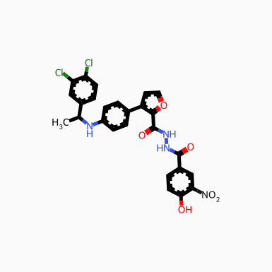 CC(Nc1ccc(-c2ccoc2C(=O)NNC(=O)c2ccc(O)c([N+](=O)[O-])c2)cc1)c1ccc(Cl)c(Cl)c1